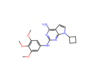 COc1cc(Nc2nc(N)c3ccn(C4CCC4)c3n2)cc(OC)c1OC